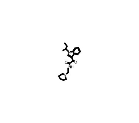 CCC(C)n1cc(C(=O)C(=O)NCCN2CCCCC2)c2ccccc21